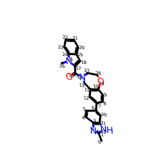 Cc1nc2ccc(-c3ccc4c(c3)CN(C(=O)c3cc5ccccc5n3C)CCO4)cc2[nH]1